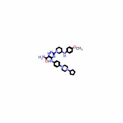 COc1ccc(N[C@@H]2CCCN(c3nnc(C(N)=O)c(Nc4ccc(N5CCN(C6CCCC6)CC5)cc4)n3)C2)cc1